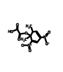 CC1C=C([N+](=O)[O-])C=C([N+](=O)[O-])C1(C)OC(=O)C(=O)O